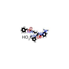 CN(C)c1cccc(C(=O)N[C@@H](CCCNC(=O)OCc2ccccc2)C(=O)N[C@H]2CCC[C@H]2C(=O)O)c1